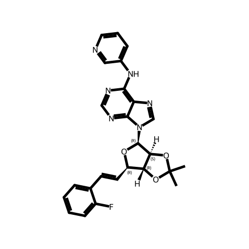 CC1(C)O[C@H]2[C@H](O1)[C@@H](C=Cc1ccccc1F)O[C@H]2n1cnc2c(Nc3cccnc3)ncnc21